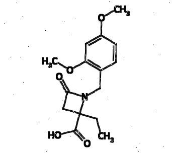 CCC1(C(=O)O)CC(=O)N1Cc1ccc(OC)cc1OC